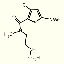 CNc1cc(C)c(C(=O)N(C)CCNC(=O)O)s1